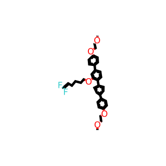 COCCOc1ccc(-c2ccc(-c3ccc(-c4ccc(OCCOC)cc4)cc3OCCCCC=C(F)F)cc2)cc1